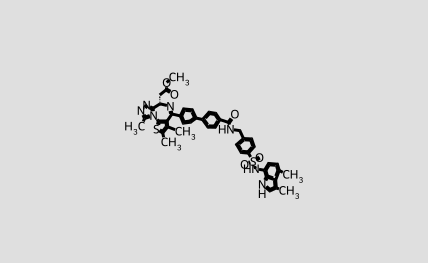 COC(=O)C[C@@H]1N=C(c2ccc(-c3ccc(C(=O)NCc4ccc(S(=O)(=O)Nc5ccc(C)c6c(C)c[nH]c56)cc4)cc3)cc2)c2c(sc(C)c2C)-n2c(C)nnc21